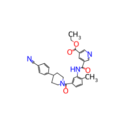 CCOC(=O)c1cncc(C(=O)Nc2cc(C(=O)N3CCC(c4ccc(C#N)cc4)CC3)ccc2C)c1